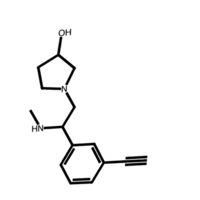 C#Cc1cccc(C(CN2CCC(O)C2)NC)c1